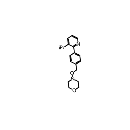 CC(C)c1cccnc1-c1ccc(CON2CCOCC2)cc1